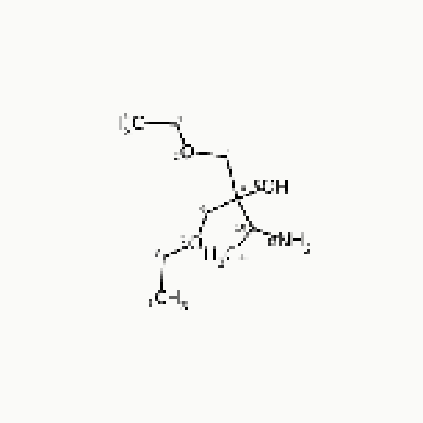 CCOCC(O)(COCC)C(C)N